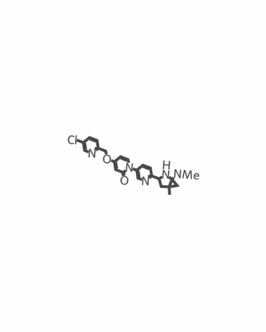 CNC12CC1(C)CC(c1ccc(-n3ccc(OCc4ccc(Cl)cn4)cc3=O)cn1)N2